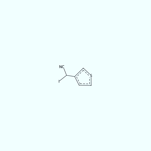 N#CC(I)c1ccsc1